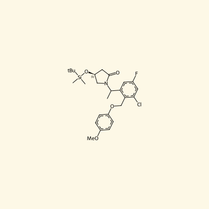 COc1ccc(OCc2c(Cl)cc(F)cc2C(C)N2C[C@@H](O[Si](C)(C)C(C)(C)C)CC2=O)cc1